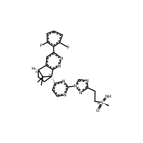 CC1(C)[C@H]2CC[C@]1(c1ccnc(-n3cnc(CC[S@](C)(=N)=O)n3)n1)c1nnc(-c3c(F)cccc3F)cc12